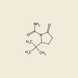 CC(C)(C)C1CCC(=O)N1C(N)=O